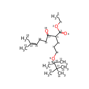 CCOC(=O)C(CCCO[Si](C)(C)C(C)(C)C)C(=O)CCC=C(C)C